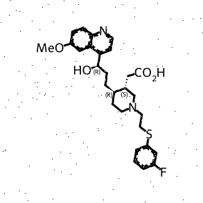 COc1ccc2nccc([C@H](O)CC[C@@H]3CCN(CCSc4cccc(F)c4)C[C@H]3CC(=O)O)c2c1